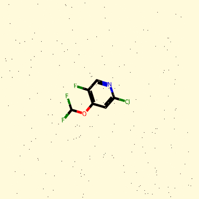 Fc1cnc(Cl)cc1OC(F)F